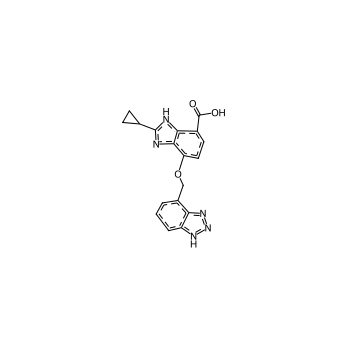 O=C(O)c1ccc(OCc2cccc3[nH]nnc23)c2nc(C3CC3)[nH]c12